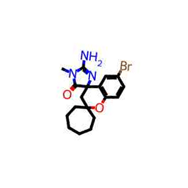 CN1C(=O)C2(CC3(CCCCCC3)Oc3ccc(Br)cc32)N=C1N